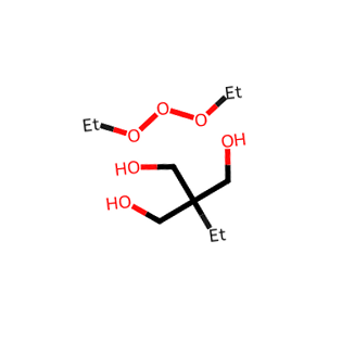 CCC(CO)(CO)CO.CCOOOCC